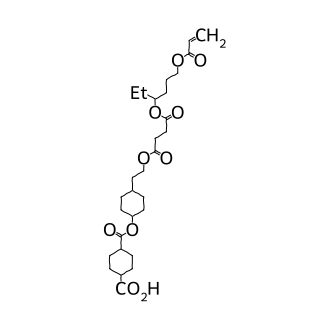 C=CC(=O)OCCCC(CC)OC(=O)CCC(=O)OCCC1CCC(OC(=O)C2CCC(C(=O)O)CC2)CC1